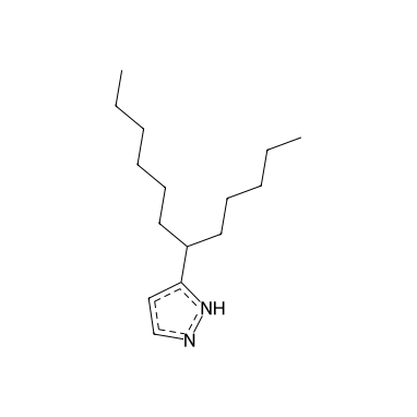 CCCCCCC(CCCCC)c1ccn[nH]1